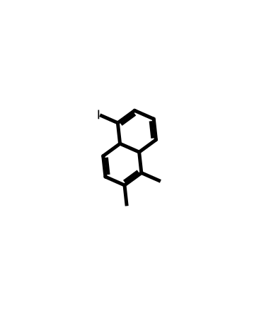 CC1=C(C)C2C=CC=C(I)C2C=C1